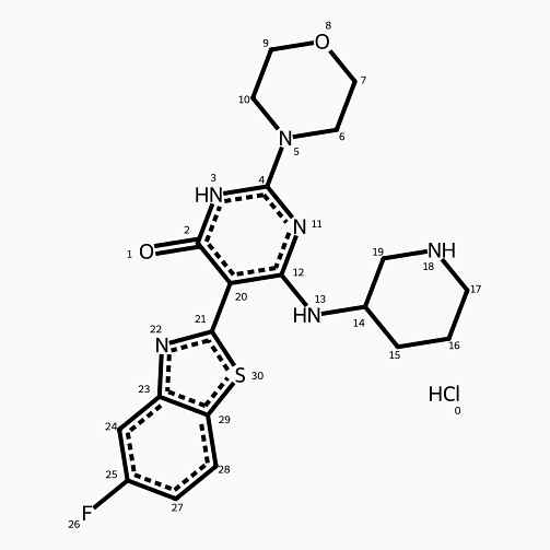 Cl.O=c1[nH]c(N2CCOCC2)nc(NC2CCCNC2)c1-c1nc2cc(F)ccc2s1